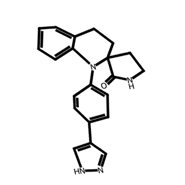 O=C1NCCC12CCc1ccccc1N2c1ccc(-c2cn[nH]c2)cc1